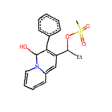 CCC(OS(C)(=O)=O)C1=C(c2ccccc2)C(O)N2C=CC=CC2=C1